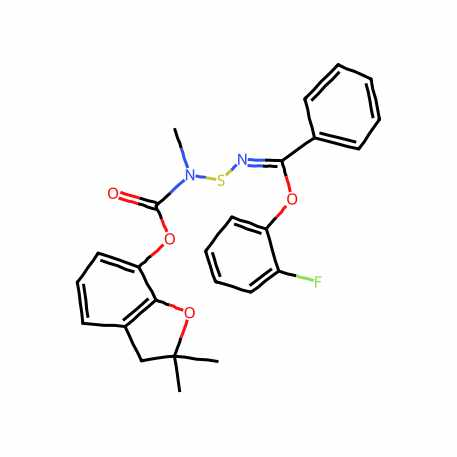 CN(SN=C(Oc1ccccc1F)c1ccccc1)C(=O)Oc1cccc2c1OC(C)(C)C2